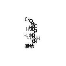 Cn1cc(-c2cccc(NC(=O)N3Cc4ccc(Cl)cc4C3)c2CO)cc(Nc2ccc(C3OC3N3CCOCC3)cn2)c1=O